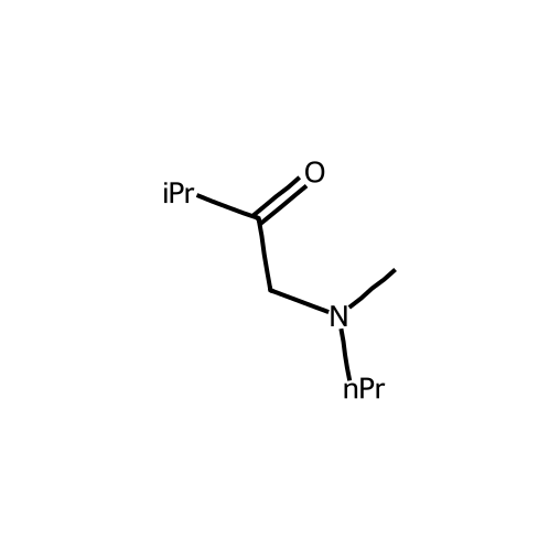 CCCN(C)CC(=O)C(C)C